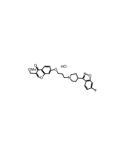 COCc1coc2cc(OCCCN3CCC(c4noc5cc(F)ccc45)CC3)ccc2c1=O.Cl